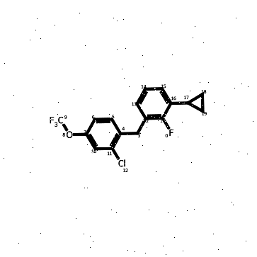 Fc1c([CH]c2ccc(OC(F)(F)F)cc2Cl)cccc1C1CC1